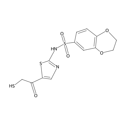 O=C(CS)c1cnc(NS(=O)(=O)c2ccc3c(c2)OCCO3)s1